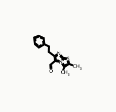 Cc1sc2nc(CCc3ccccc3)c(C=O)n2c1C